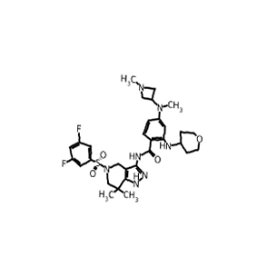 CN1CC(N(C)c2ccc(C(=O)Nc3n[nH]c4c3CN(S(=O)(=O)c3cc(F)cc(F)c3)CC4(C)C)c(NC3CCOCC3)c2)C1